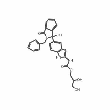 O=C(Nc1nc2cc(C3(O)c4ccccc4C(=O)N3Cc3ccccc3)ccc2[nH]1)OCC(O)CO